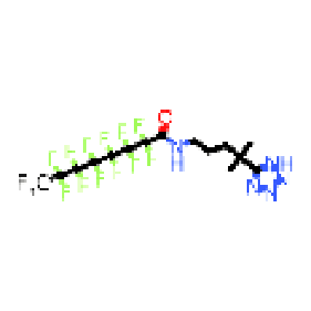 CC(C)(CCCNC(=O)C(F)(F)C(F)(F)C(F)(F)C(F)(F)C(F)(F)C(F)(F)C(F)(F)F)c1nnn[nH]1